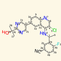 CC(Nc1c(Cl)cnc2ccc(-c3cnc(C(C)(C)O)nc3)cc12)c1cc(C#N)ccc1F